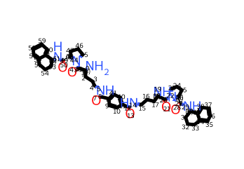 N[C@@H](CCCNC(=O)c1ccc(C(=O)NCCC[C@H](N)C(=O)N2CCC[C@H]2C(=O)N[C@@H]2CCCc3ccccc32)cc1)C(=O)N1CCC[C@H]1C(=O)N[C@@H]1CCCc2ccccc21